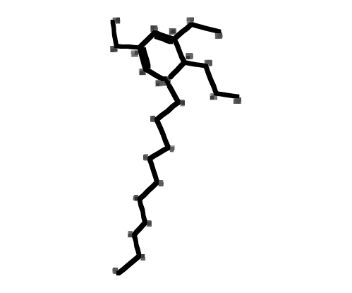 CCCCCCCCCCN1C=C(CC)C=C(CC)C1CCC